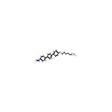 CCCCCCOc1ccc(-c2ccc(-c3ccc(C#N)cc3)cc2)cc1